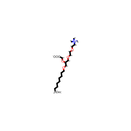 CCCCCCCCCCCCCCCCCCOCC(COCCOCC[N+](C)(C)C)OCC(=O)[O-]